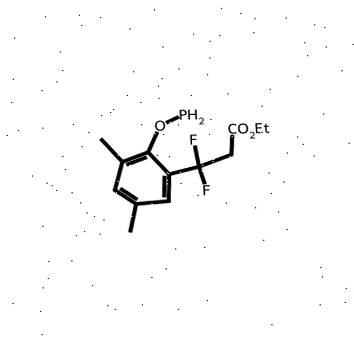 CCOC(=O)CC(F)(F)c1cc(C)cc(C)c1OP